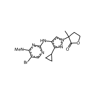 CNc1nc(Nc2cn(C3(C)CCOC3=O)nc2C2CC2)ncc1Br